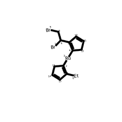 CCC1=[C]([Ru][C]2=C(C(Br)CBr)C=CC2)CC=C1